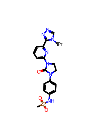 CC(C)n1cnnc1-c1cccc(N2CCN(c3ccc(NS(C)(=O)=O)cc3)C2=O)n1